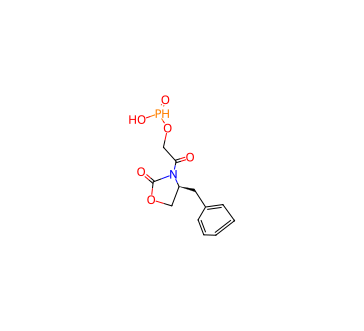 O=C(CO[PH](=O)O)N1C(=O)OC[C@@H]1Cc1ccccc1